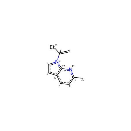 C=C(CC)n1ccc2ccc(C)nc21